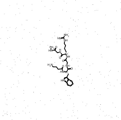 N=C(N)NCCCC[C@H](NC(=O)CNC(=O)[C@H](Cc1c[nH]c2ccccc12)NC(=O)CCCN)C(=O)NCC(=O)NP